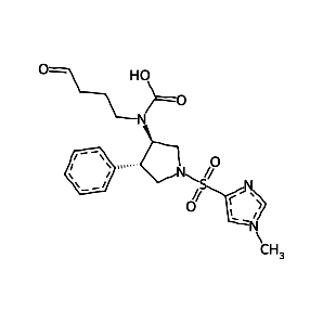 Cn1cnc(S(=O)(=O)N2C[C@H](c3ccccc3)[C@@H](N(CCCC=O)C(=O)O)C2)c1